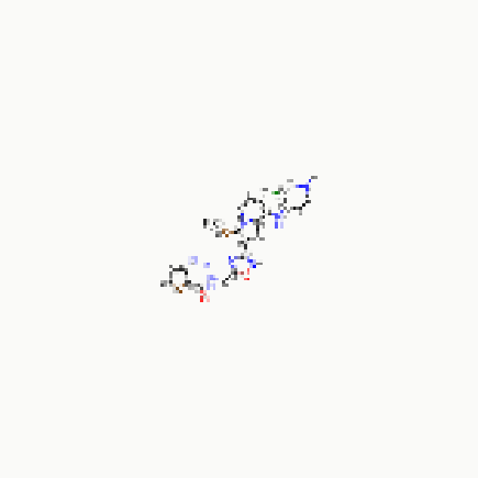 CN1CC[C@@H](Nc2cccn3c(SC(F)(F)F)c(-c4noc(CNC(=O)c5sccc5N)n4)cc23)[C@@H](F)C1